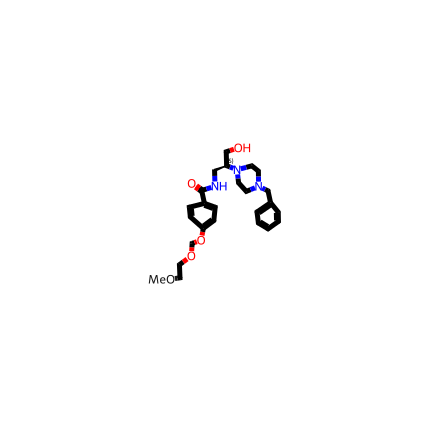 COCCOCOc1ccc(C(=O)NC[C@@H](CO)N2CCN(Cc3ccccc3)CC2)cc1